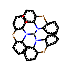 c1ccc2c(c1)Sc1ccccc1N2B(N1c2ccccc2Sc2ccccc21)N1c2ccccc2Sc2ccccc21